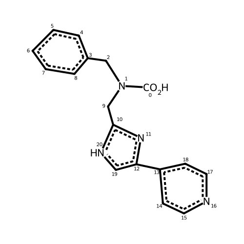 O=C(O)N(Cc1ccccc1)Cc1nc(-c2ccncc2)c[nH]1